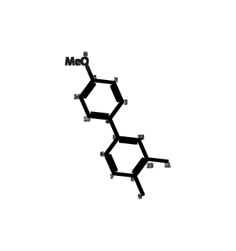 [CH2]Oc1ccc(-c2ccc(C)c(C)c2)cc1